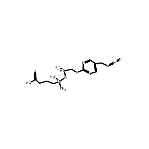 C[SiH](CSc1ncc(CN=[N+]=[N-])cn1)O[Si](C)(C)CCCC(=O)O